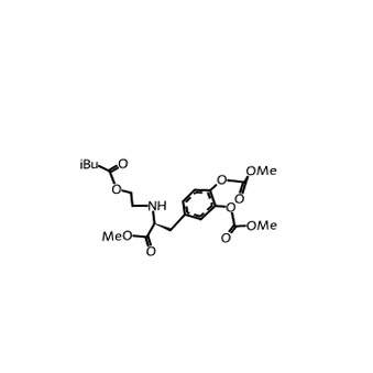 CCC(C)C(=O)OCCN[C@@H](Cc1ccc(OC(=O)OC)c(OC(=O)OC)c1)C(=O)OC